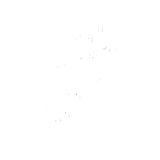 CN1C(=N)NC2(c3cc(NC(=O)c4ccc(F)cn4)ccc3F)CC(=O)CC2S1(=O)=O